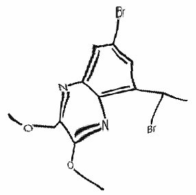 COc1nc2cc(Br)cc(C(C)Br)c2nc1OC